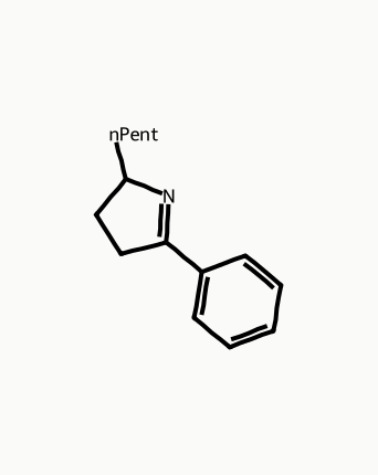 CCCCCC1CCC(c2ccccc2)=N1